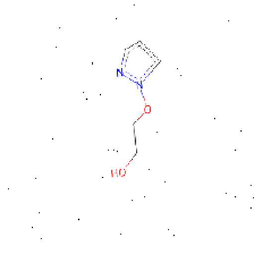 OCCOn1cccn1